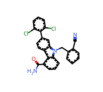 N#Cc1ccccc1Cn1c2cc(-c3c(Cl)cccc3Cl)c[c]c2c2c(C(N)=O)cccc21